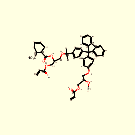 C=CC(=O)OCC(COc1ccc(C2(c3ccc(C(C)(C)OCC(COC(=O)C=C)OC(=O)C4CC=CCC4C(=O)O)cc3)c3ccccc3-c3ccccc32)cc1)OCC